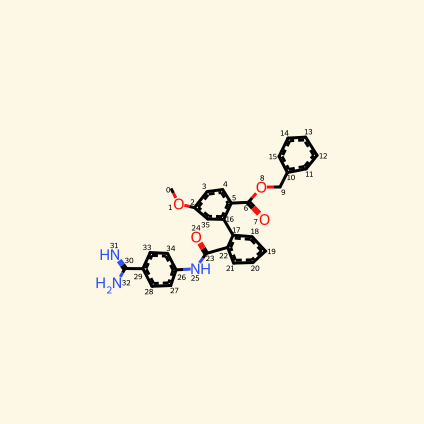 COc1ccc(C(=O)OCc2ccccc2)c(-c2ccccc2C(=O)Nc2ccc(C(=N)N)cc2)c1